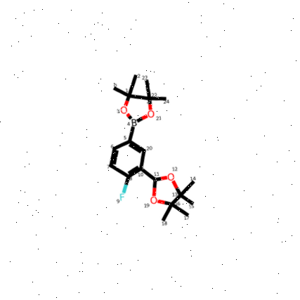 CC1(C)OB(c2ccc(F)c(C3OC(C)(C)C(C)(C)O3)c2)OC1(C)C